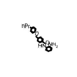 CCCc1ccc(OCc2ccc(C(=O)Nc3ccccc3N)cc2)cc1